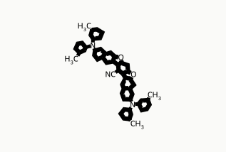 Cc1cccc(N(c2cccc(C)c2)c2ccc3cc4c(cc3c2)oc2cc3oc5cc6cc(N(c7cccc(C)c7)c7cccc(C)c7)ccc6cc5c3c(C#N)c24)c1